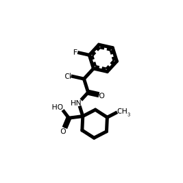 CC1CCCC(NC(=O)C(Cl)c2ccccc2F)(C(=O)O)C1